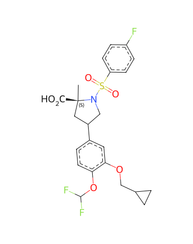 C[C@@]1(C(=O)O)CC(c2ccc(OC(F)F)c(OCC3CC3)c2)CN1S(=O)(=O)c1ccc(F)cc1